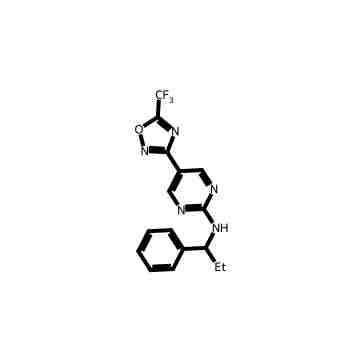 CCC(Nc1ncc(-c2noc(C(F)(F)F)n2)cn1)c1ccccc1